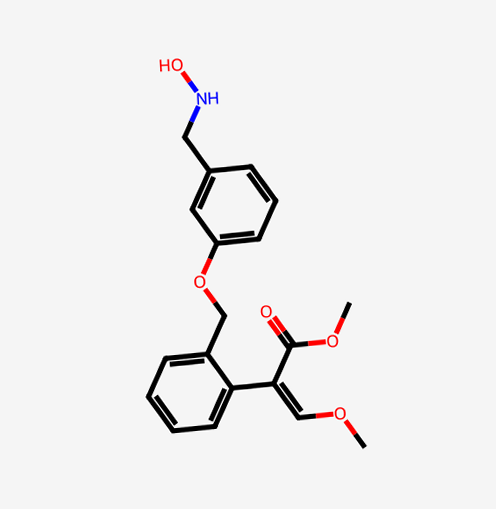 CO/C=C(\C(=O)OC)c1ccccc1COc1cccc(CNO)c1